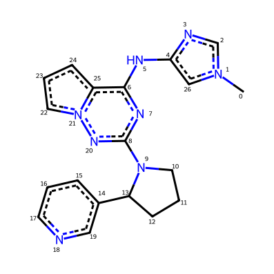 Cn1cnc(Nc2nc(N3CCCC3c3cccnc3)nn3cccc23)c1